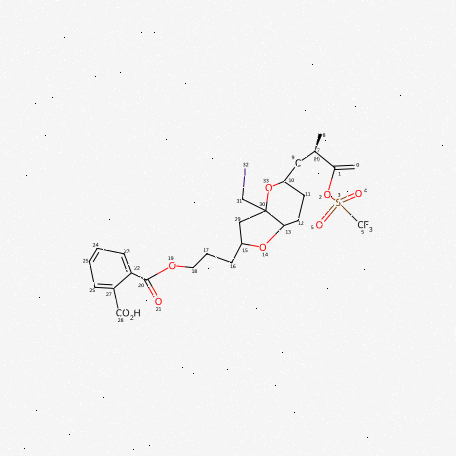 C=C(OS(=O)(=O)C(F)(F)F)[C@H](C)CC1CCC2OC(CCCOC(=O)c3ccccc3C(=O)O)CC2(CI)O1